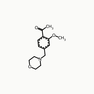 COc1cc(CN2CCOCC2)ccc1C(C)=O